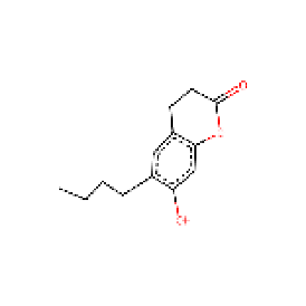 CCCCc1cc2c(cc1O)OC(=O)CC2